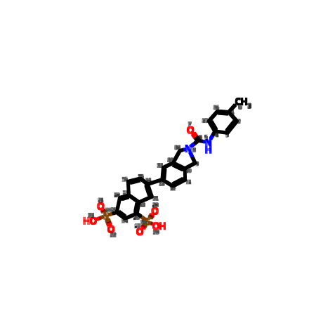 Cc1ccc(NC(=O)N2Cc3ccc(-c4ccc5cc(S(=O)(=O)O)cc(S(=O)(=O)O)c5c4)cc3C2)cc1